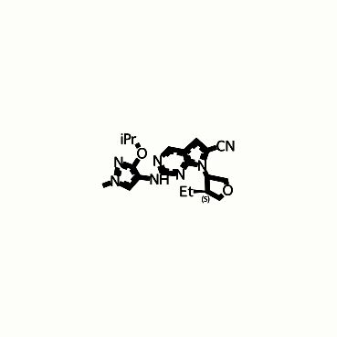 CC[C@@H]1COCC1n1c(C#N)cc2cnc(Nc3cn(C)nc3OC(C)C)nc21